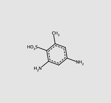 Cc1cc(N)cc(N)c1S(=O)(=O)O